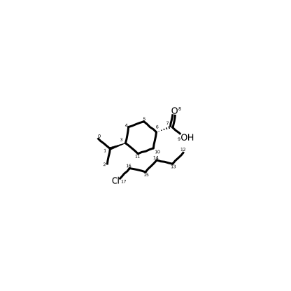 CC(C)[C@H]1CC[C@H](C(=O)O)CC1.CCCCCCl